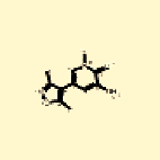 Cc1noc(C)c1-c1cc(N)c(=O)n(C)c1